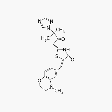 CN1CCOc2ccc(/C=c3\s/c(=C/C(=O)C(C)(C)n4cncn4)[nH]c3=O)cc21